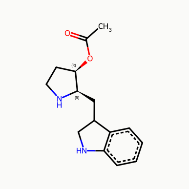 CC(=O)O[C@@H]1CCN[C@@H]1CC1CNc2ccccc21